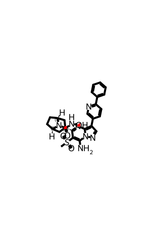 CS(=O)(=O)c1c([C@@H]2C[C@H]3CC[C@@H](C2)N3C(=O)NO)nc2c(-c3ccc(-c4ccccc4)nc3)cnn2c1N